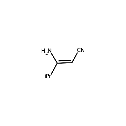 CC(C)C(N)=CC#N